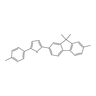 Cc1ccc(-c2ccc(-c3ccc4c(c3)C(C)(C)c3cc(C)ccc3-4)s2)cc1